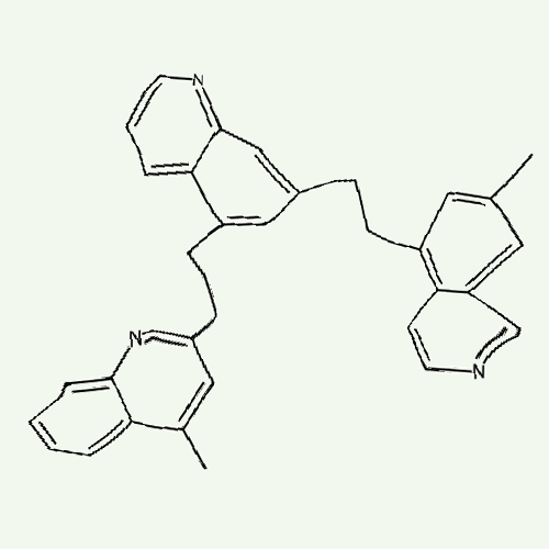 Cc1cc(CCc2cc(CCc3cc(C)c4ccccc4n3)c3cccnc3c2)c2ccncc2c1